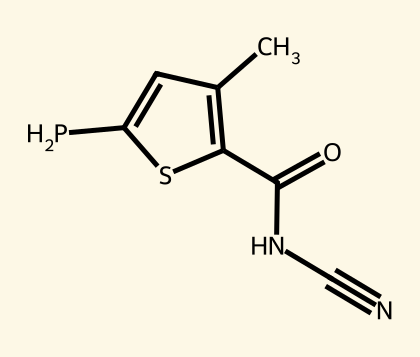 Cc1cc(P)sc1C(=O)NC#N